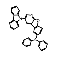 c1ccc(N(c2ccccc2)c2ccc3oc4ncc(-n5c6ccccc6c6ccccc65)cc4c3c2)cc1